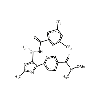 CON(C)C(=O)c1ccc(-n2nc(C)nc2[C@H](C)NC(=O)c2cc(C(F)(F)F)cc(C(F)(F)F)c2)nc1